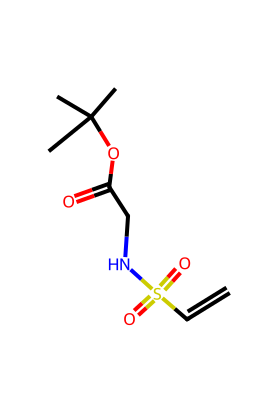 C=CS(=O)(=O)NCC(=O)OC(C)(C)C